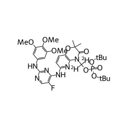 [2H]C([2H])(OP(=O)(OC(C)(C)C)OC(C)(C)C)N1C(=O)C(C)(C)Oc2ccc(Nc3nc(Nc4cc(OC)c(OC)c(OC)c4)ncc3F)nc21